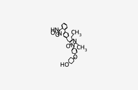 CCCc1nc(CC)n(C2=CCC(OC3CCC(O)CC3)C=C2)c(=O)c1Cc1ccc(-c2ccccc2-c2noc(=O)[nH]2)cc1